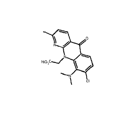 Cc1ccc2c(=O)c3ccc(Cl)c(N(C)C)c3n(CC(=O)O)c2n1